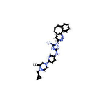 CC1CN(c2ccc(Nc3nc(N)n(-c4cc5c(nn4)-c4ccccc4CCC5)n3)cn2)CCN1CC1CC1